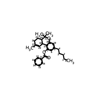 CCCCCc1cc(OC(=O)c2ccccc2)c2c(c1)OC(C)(C)C1CCC(C)=CC21